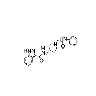 O=C(CN1CCC(CNC(=O)c2n[nH]c3ccccc23)CC1)Nc1ccccc1